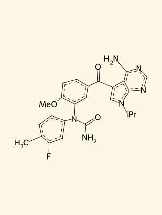 COc1ccc(C(=O)c2cn(C(C)C)c3ncnc(N)c23)cc1N(C(N)=O)c1ccc(C)c(F)c1